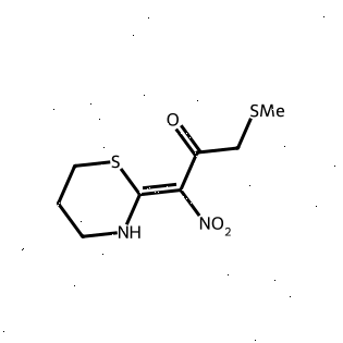 CSCC(=O)/C(=C1/NCCCS1)[N+](=O)[O-]